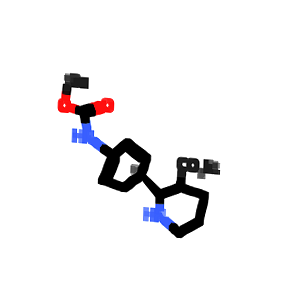 CCOC(=O)C1CCCNC1[C@@H]1C=CC(NC(=O)OC(C)(C)C)=CC1